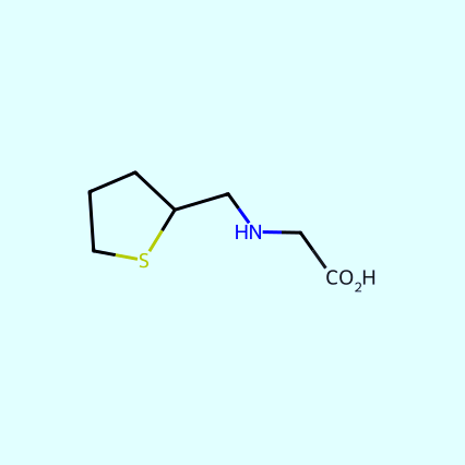 O=C(O)CNCC1CCCS1